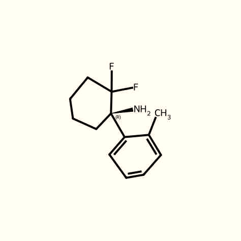 Cc1ccccc1[C@]1(N)CCCCC1(F)F